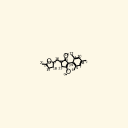 COC1=C(c2c(C)cc(C)cc2C)C(=O)C(CC2CCC(C)O2)C1